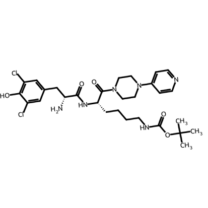 CC(C)(C)OC(=O)NCCCC[C@H](NC(=O)[C@H](N)Cc1cc(Cl)c(O)c(Cl)c1)C(=O)N1CCN(c2ccncc2)CC1